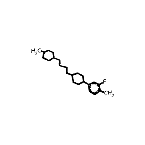 Cc1ccc(C2CCC(CCCCC3CCC(C)CC3)CC2)cc1F